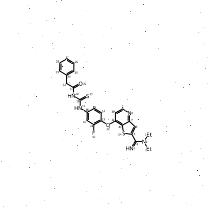 CCN(CC)C(=N)c1cc2nccc(Oc3ccc(NC(=S)NC(=O)Cc4ccccc4)cc3F)c2s1